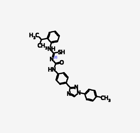 Cc1ccc(-n2cnc(-c3ccc(NC(=O)/N=C(\S)Nc4ccccc4C(C)C)cc3)n2)cc1